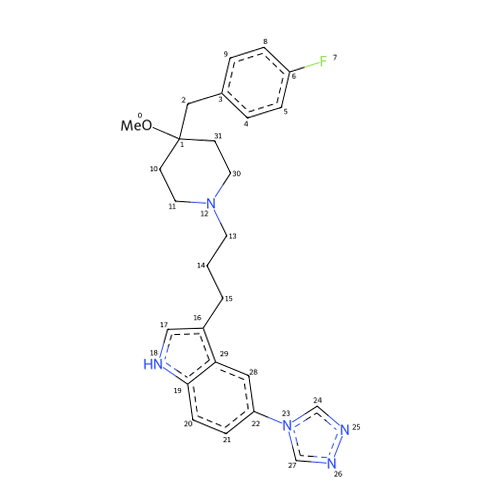 COC1(Cc2ccc(F)cc2)CCN(CCCc2c[nH]c3ccc(-n4cnnc4)cc23)CC1